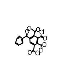 O=C(Cl)c1cc(C(=O)c2ccccc2)c(C(=O)Cl)c(C(=O)Cl)c1C(=O)Cl